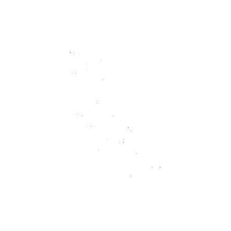 CC(C)Oc1c(-c2ccc(S(C)(=O)=O)cc2)cnn(-c2cccc(F)c2)c1=O